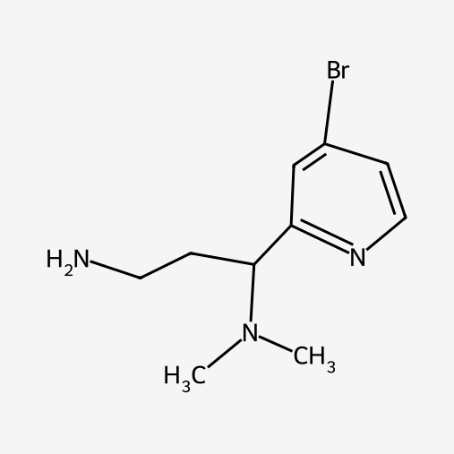 CN(C)C(CCN)c1cc(Br)ccn1